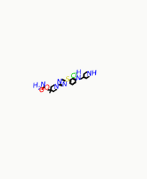 CC1(COC(N)=O)CCN(c2cnc(Sc3cccc(NCC4CCNCC4)c3Cl)cn2)CC1